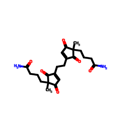 CC1(CCCC(N)=O)C(=O)C=C(CCC2=CC(=O)C(C)(CCCC(N)=O)C2=O)C1=O